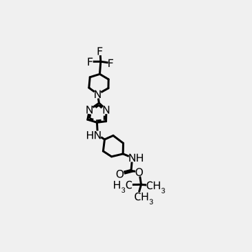 CC(C)(C)OC(=O)NC1CCC(Nc2cnc(N3CCC(C(F)(F)F)CC3)nc2)CC1